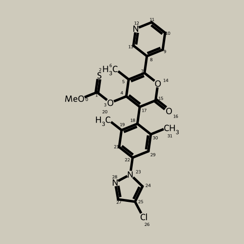 COC(=S)Oc1c(C)c(-c2cccnc2)oc(=O)c1-c1c(C)cc(-n2cc(Cl)cn2)cc1C